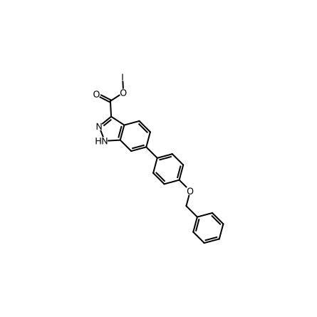 O=C(OI)c1n[nH]c2cc(-c3ccc(OCc4ccccc4)cc3)ccc12